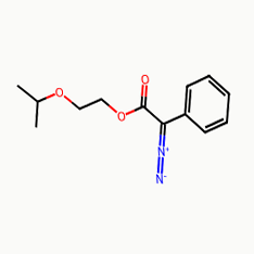 CC(C)OCCOC(=O)C(=[N+]=[N-])c1ccccc1